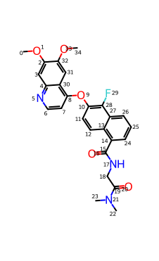 COc1cc2nccc(Oc3ccc4c(C(=O)NCC(=O)N(C)C)cccc4c3F)c2cc1OC